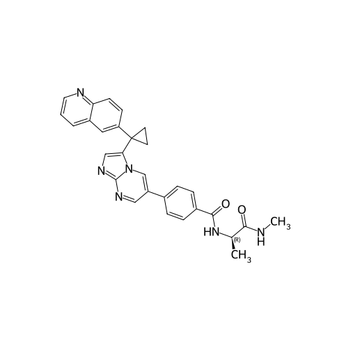 CNC(=O)[C@@H](C)NC(=O)c1ccc(-c2cnc3ncc(C4(c5ccc6ncccc6c5)CC4)n3c2)cc1